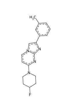 Cc1cccc(-c2cn3ccc(N4CCC(F)CC4)nc3n2)c1